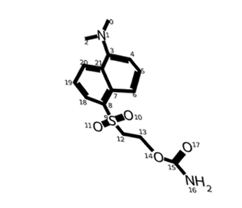 CN(C)c1cccc2c(S(=O)(=O)CCOC(N)=O)cccc12